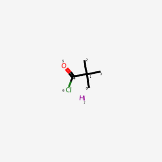 CC(C)(C)C(=O)Cl.I